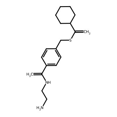 C=C(NCCN)c1ccc(CSC(=C)C2CCCCC2)cc1